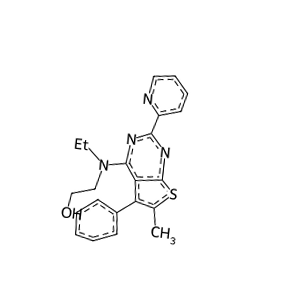 CCN(CCO)c1nc(-c2ccccn2)nc2sc(C)c(-c3ccccc3)c12